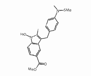 COC(=O)c1ccc2c(c1)c(Cc1ccc(N(C)SC)cc1)c(C)n2O